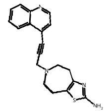 Nc1nc2c(s1)CCN(CC#Cc1ccnc3ccccc13)CC2